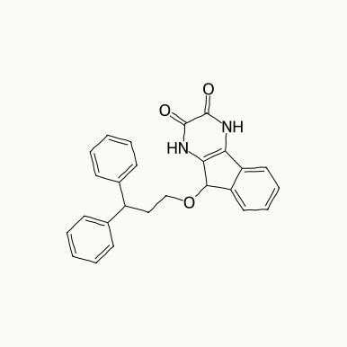 O=c1[nH]c2c([nH]c1=O)C(OCCC(c1ccccc1)c1ccccc1)c1ccccc1-2